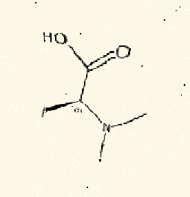 CN(C)[C@@H](I)C(=O)O